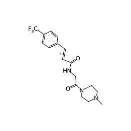 CN1CCN(C(=O)CNC(=O)/C=C/c2ccc(C(F)(F)F)cc2)CC1